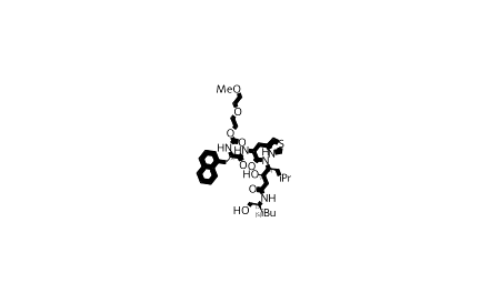 CC[C@H](C)[C@@H](CO)NC(=O)C[C@H](O)[C@H](CC(C)C)NC(=O)C(Cc1cscn1)NC(=O)[C@H](Cc1cccc2ccccc12)NC(=O)OCCOCCOC